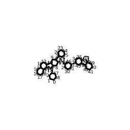 c1ccc(-n2c3cc4c(cc3c3ccc5ccccc5c32)c2ccccc2n4-c2cccc(-c3ccc4oc5ccccc5c4c3)c2)cc1